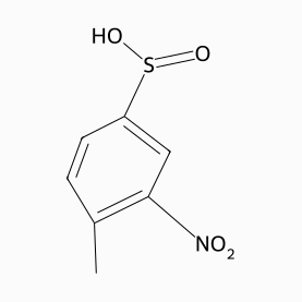 Cc1ccc(S(=O)O)cc1[N+](=O)[O-]